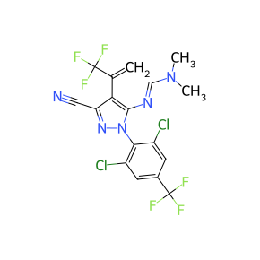 C=C(c1c(C#N)nn(-c2c(Cl)cc(C(F)(F)F)cc2Cl)c1N=CN(C)C)C(F)(F)F